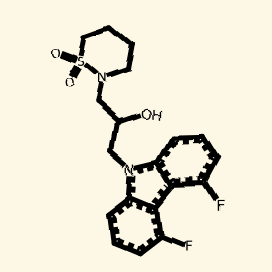 O=S1(=O)CCCCN1CC(O)Cn1c2cccc(F)c2c2c(F)cccc21